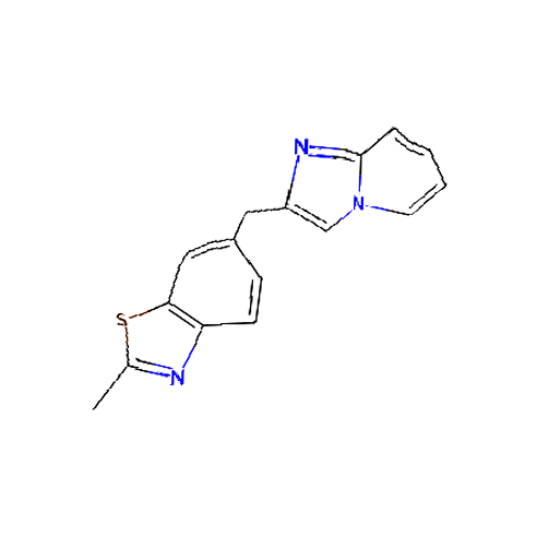 Cc1nc2ccc(Cc3cn4ccccc4n3)cc2s1